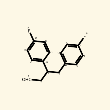 O=CCC(Cc1ccc(F)cc1)c1ccc(F)cc1